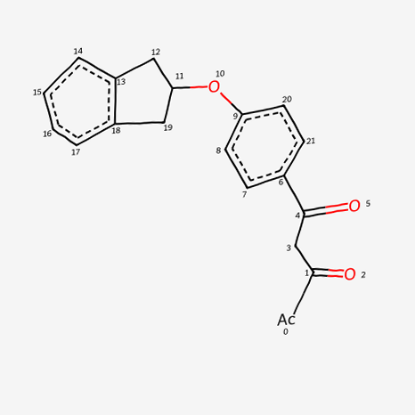 CC(=O)C(=O)CC(=O)c1ccc(OC2Cc3ccccc3C2)cc1